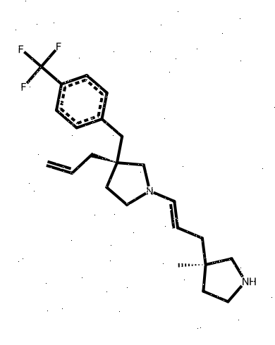 C=CC[C@]1(Cc2ccc(C(F)(F)F)cc2)CCN(/C=C/C[C@]2(C)CCNC2)C1